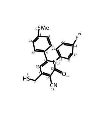 CSc1ccc(-c2nc(CS)c(C#N)c(=O)n2-c2ccc(F)cc2)cc1